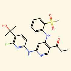 CCC(=O)c1cnc(Nc2ccc(C(C)(C)O)c(F)n2)cc1Nc1ccccc1S(C)(=O)=O